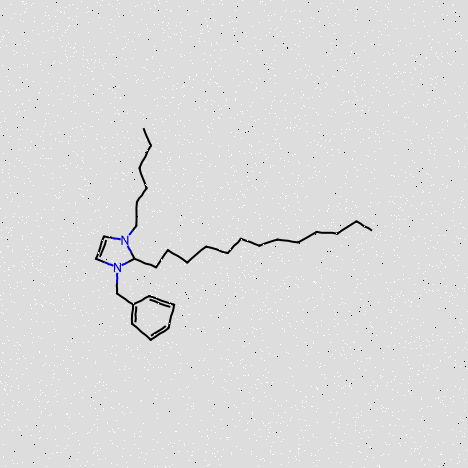 CCCCCCCCCCCCCC1N(CCCCCC)C=CN1Cc1ccccc1